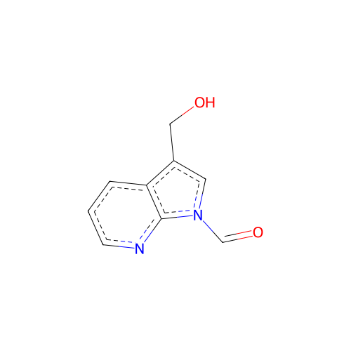 O=Cn1cc(CO)c2cccnc21